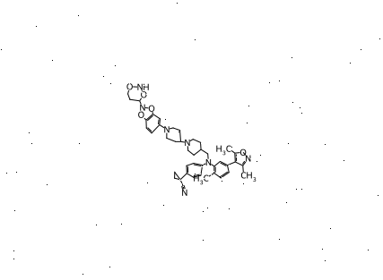 Cc1ccc(-c2c(C)noc2C)cc1N(CC1CCN(C2CCN(c3ccc4c(c3)ON(C3CCONO3)O4)CC2)CC1)c1ccc(C2(C#N)CC2)cc1